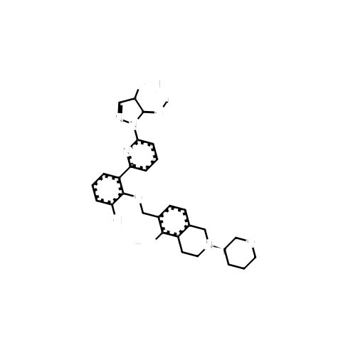 Cc1cccc(-c2cccc(N3N=CC(C(=O)O)C3OC(C)C)n2)c1OCc1ccc2c(c1C)CCN([C@@H]1CCCOC1)C2